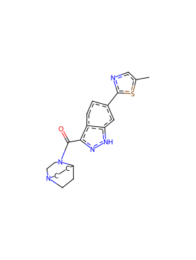 Cc1cnc(-c2ccc3c(C(=O)N4CCN5CCC4CC5)n[nH]c3c2)s1